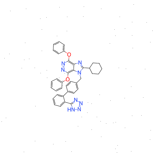 c1ccc(Oc2nnc(Oc3ccccc3)c3c2nc(C2CCCCC2)n3Cc2ccc(-c3ccccc3-c3nnn[nH]3)cc2)cc1